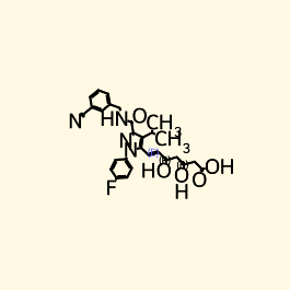 CC(C)c1c(C(=O)NCc2cccc(C#N)c2)nn(-c2ccc(F)cc2)c1/C=C/[C@H](O)C[C@@H](O)CC(=O)O